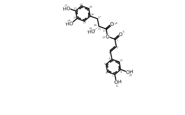 O=C(C=Cc1ccc(O)c(O)c1)OC(=O)[C@H](O)Cc1ccc(O)c(O)c1